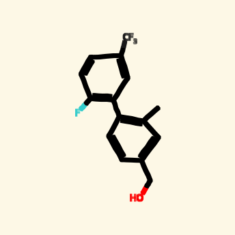 Cc1cc(CO)ccc1-c1cc(C(F)(F)F)ccc1F